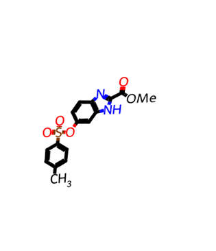 COC(=O)c1nc2ccc(OS(=O)(=O)c3ccc(C)cc3)cc2[nH]1